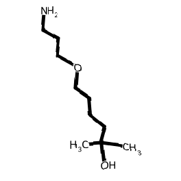 CC(C)(O)CCCCOCCCN